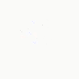 N#CC1(NC(=O)C(CC2CCCCC2)NC(=O)c2ccc(Cl)cc2)CCN(Cc2ccccc2)C1